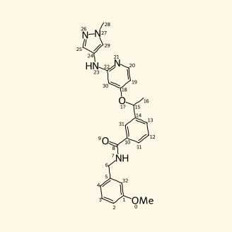 COc1cccc(CNC(=O)c2cccc(C(C)Oc3ccnc(Nc4cnn(C)c4)c3)c2)c1